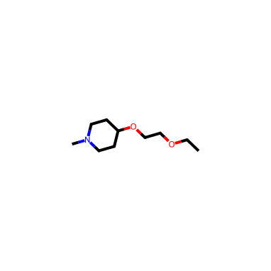 CCOCCOC1CCN(C)CC1